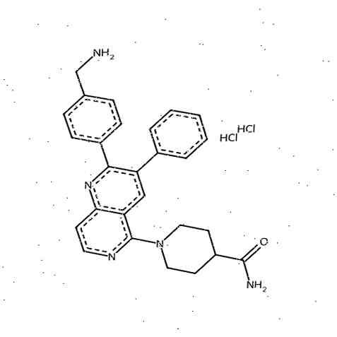 Cl.Cl.NCc1ccc(-c2nc3ccnc(N4CCC(C(N)=O)CC4)c3cc2-c2ccccc2)cc1